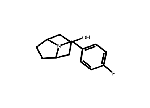 OC1CC2CCC(C1)N2Cc1ccc(F)cc1